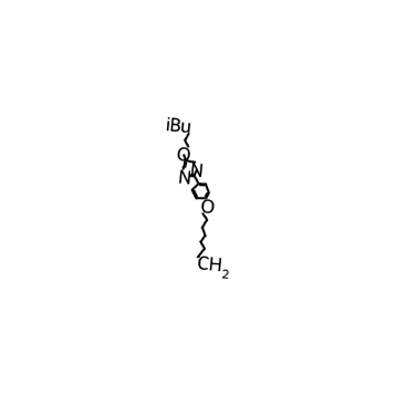 C=CCCCCCCOc1ccc(-c2ncc(OCCC[C@@H](C)CC)cn2)cc1